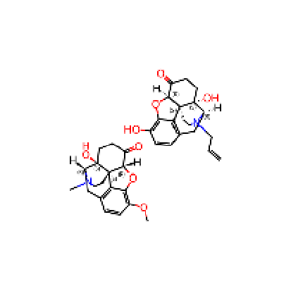 C=CCN1CC[C@]23c4c5ccc(O)c4O[C@H]2C(=O)CC[C@@]3(O)[C@H]1C5.COc1ccc2c3c1O[C@H]1C(=O)CC[C@@]4(O)[C@@H](C2)N(C)CC[C@]314